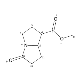 COC(=O)C1CCN2C(=O)CCC12